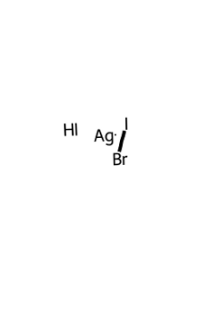 BrI.I.[Ag]